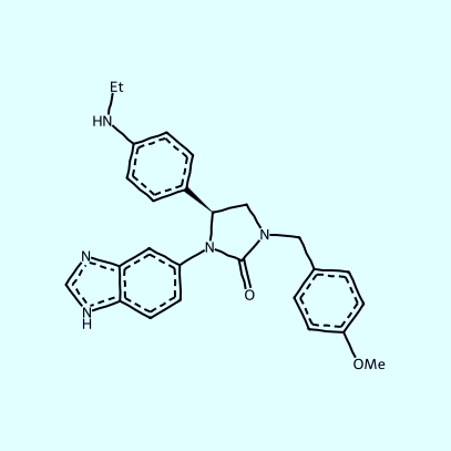 CCNc1ccc([C@H]2CN(Cc3ccc(OC)cc3)C(=O)N2c2ccc3[nH]cnc3c2)cc1